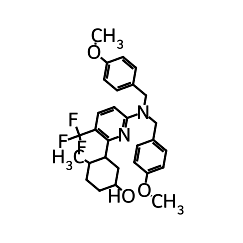 COc1ccc(CN(Cc2ccc(OC)cc2)c2ccc(C(F)(F)F)c(C3CC(O)CCC3C)n2)cc1